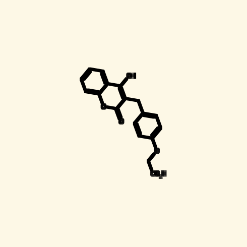 O=C(O)COc1ccc(Cc2c(O)c3ccccc3oc2=O)cc1